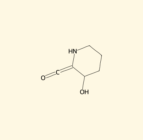 O=C=C1NCCCC1O